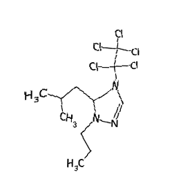 CCCN1N=CN(C(Cl)(Cl)C(Cl)(Cl)Cl)C1CC(C)C